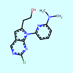 [CH2]N([CH2])c1cccc(-n2c(CCO)cc3cnc(Cl)nc32)n1